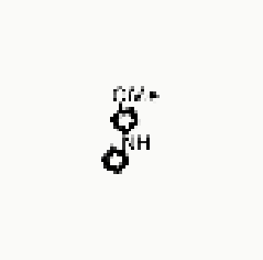 COc1ccc(Nc2[c]cccc2)cc1